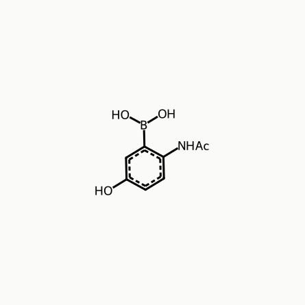 CC(=O)Nc1ccc(O)cc1B(O)O